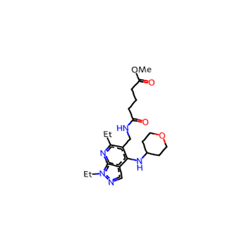 CCc1nc2c(cnn2CC)c(NC2CCOCC2)c1CNC(=O)CCCC(=O)OC